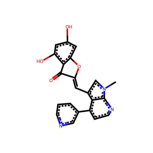 Cn1cc(C=C2Oc3cc(O)cc(O)c3C2=O)c2c(-c3cccnc3)ccnc21